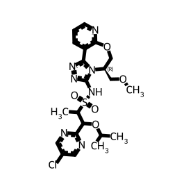 COC[C@@H]1COc2ncccc2-c2nnc(NS(=O)(=O)C(C)C(OC(C)C)c3ncc(Cl)cn3)n21